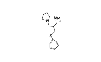 NCC(CSc1ccccc1)CN1CCCC1